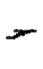 CCCCCCCCCCCCCCCCn1cc[n+](CCCCCCCCCCCCCC)c1CCCCC